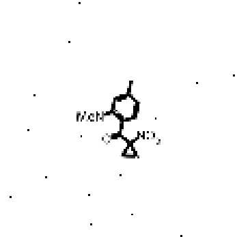 CNc1cc(C)ccc1C(=O)C1([N+](=O)[O-])CC1